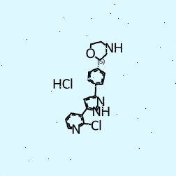 Cl.Clc1ncccc1-c1cc(-c2ccc([C@H]3CNCCO3)cc2)n[nH]1